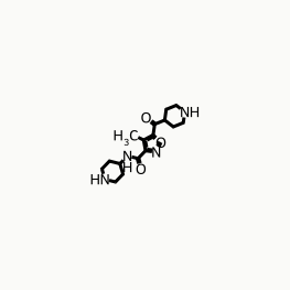 Cc1c(C(=O)NC2CCNCC2)noc1C(=O)C1CCNCC1